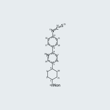 CCCCCCCCCC1CCC(c2ccc(-c3ccc(N=C=S)cc3)nc2)CC1